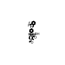 CC(=O)N1CCN(S(=O)(=O)c2ccc(OCc3ccccc3C(F)(F)F)cc2)C(C(=O)NO)C1C